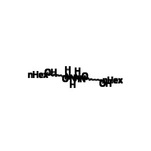 CCCCCCC(O)CCCCCCCCCCC(=O)NCCNCCNCCNC(=O)CCCCCCCCCCC(O)CCCCCC